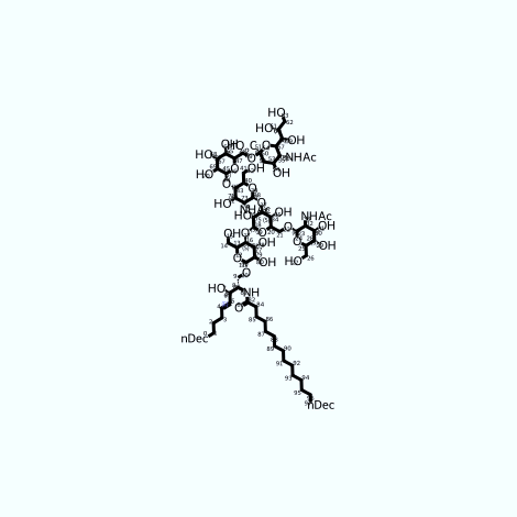 CCCCCCCCCCCCC/C=C/[C@@H](O)[C@H](CO[C@@H]1OC(CO)[C@@H](O[C@@H]2OC(CO[C@@H]3OC(CO)[C@@H](O)[C@H](O)C3NC(C)=O)[C@H](O)[C@H](O[C@@H]3OC(CO)[C@@H](O[C@@H]4OC(CO[C@]5(C(=O)O)CC(O)[C@@H](NC(C)=O)C([C@H](O)[C@H](O)CO)O5)[C@H](O)[C@H](O)C4O)[C@H](O)C3NC(C)=O)C2O)[C@H](O)C1O)NC(=O)CCCCCCCCCCCCCCCCCCCCCCC